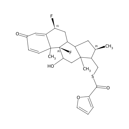 C[C@@H]1CC2C3C[C@H](F)C4=CC(=O)C=CC4(C)[C@@]3(F)C(O)CC2(C)C1CSC(=O)c1ccco1